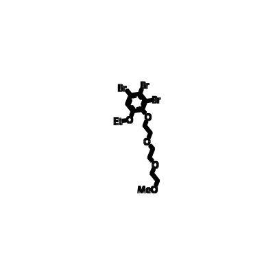 CCOc1cc(Br)c(Br)c(Br)c1OCCOCCOCCOC